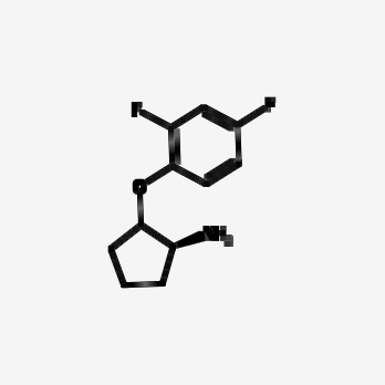 N[C@H]1CCCC1Oc1ccc(F)cc1F